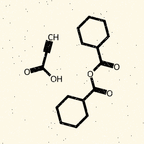 C#CC(=O)O.O=C(OC(=O)C1CCCCC1)C1CCCCC1